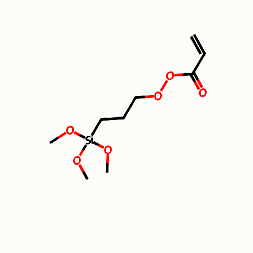 C=CC(=O)OOCCC[Si](OC)(OC)OC